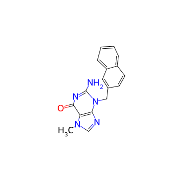 Cn1cnc2c1c(=O)nc(N)n2Cc1ccc2ccccc2c1